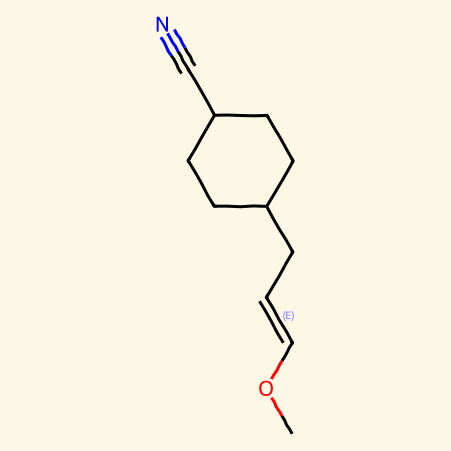 CO/C=C/CC1CCC(C#N)CC1